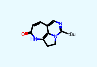 CC(C)(C)C1=NC=C2C=CC(=O)NC3=C2N1CC3